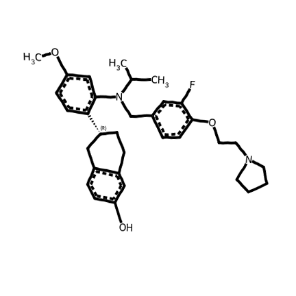 COc1ccc([C@@H]2CCc3cc(O)ccc3C2)c(N(Cc2ccc(OCCN3CCCC3)c(F)c2)C(C)C)c1